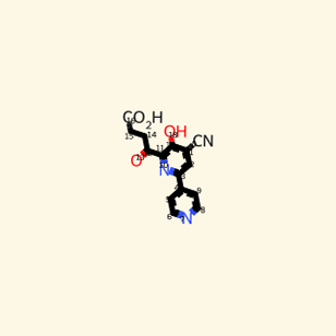 N#Cc1cc(-c2ccncc2)nc(C(=O)CCC(=O)O)c1O